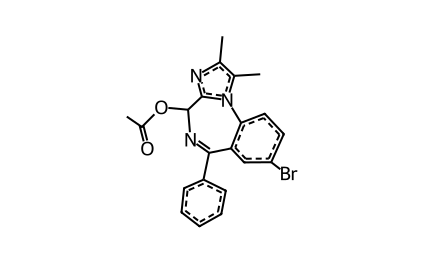 CC(=O)OC1N=C(c2ccccc2)c2cc(Br)ccc2-n2c1nc(C)c2C